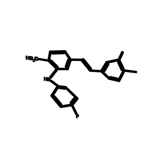 Cc1ccc(C=Cc2ccc(C(=O)O)c(Nc3ccc(F)cc3)c2)cc1C